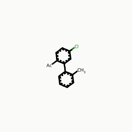 CC(=O)c1ccc(Cl)cc1-c1ccccc1C